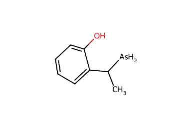 CC([AsH2])c1ccccc1O